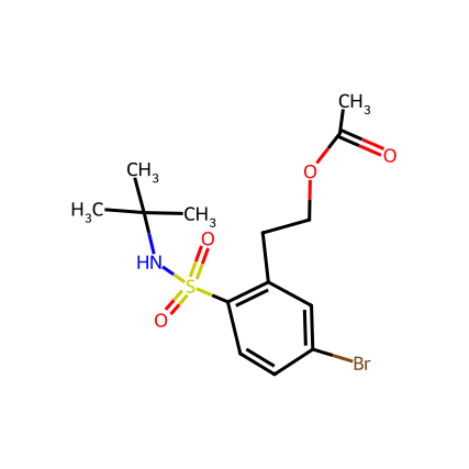 CC(=O)OCCc1cc(Br)ccc1S(=O)(=O)NC(C)(C)C